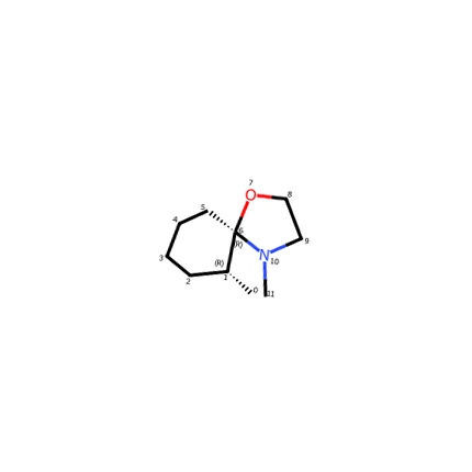 C[C@@H]1CCCC[C@@]12OCCN2C